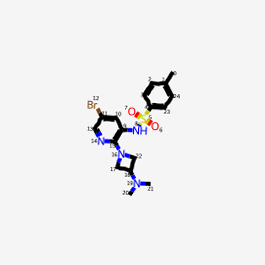 Cc1ccc(S(=O)(=O)Nc2cc(Br)cnc2N2CC(N(C)C)C2)cc1